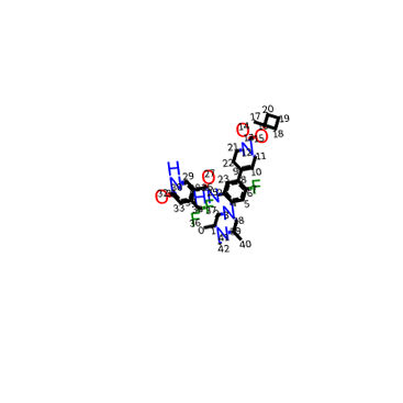 CC1CN(c2cc(F)c(C3=CCN(C(=O)OC4(C)CCC4)CC3)cc2NC(=O)c2c[nH]c(=O)cc2C(F)F)CC(C)N1C